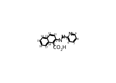 O=C(O)c1c(N=Nc2ccccn2)ccc2ccccc12